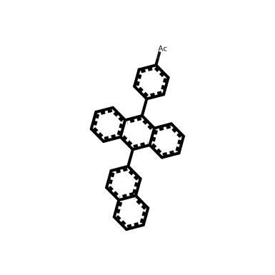 CC(=O)c1ccc(-c2c3ccccc3c(-c3ccc4ccccc4c3)c3ccccc23)cc1